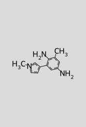 Cc1cc(N)cc(-c2ccn(C)c2)c1N